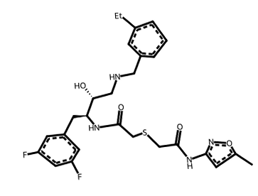 CCc1cccc(CNC[C@@H](O)[C@H](Cc2cc(F)cc(F)c2)NC(=O)CSCC(=O)Nc2cc(C)on2)c1